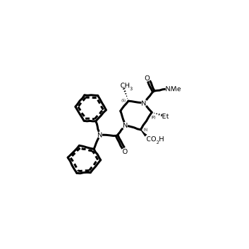 CC[C@@H]1[C@@H](C(=O)O)N(C(=O)N(c2ccccc2)c2ccccc2)C[C@H](C)N1C(=O)NC